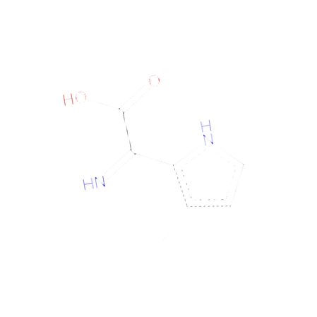 Cc1cc[nH]c1C(=N)C(=O)O